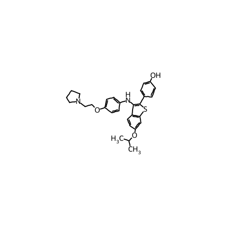 CC(C)Oc1ccc2c(Nc3ccc(OCCN4CCCC4)cc3)c(-c3ccc(O)cc3)sc2c1